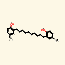 Cc1ccc(O)c(CCCCCCCCCCc2cc(C)ccc2O)c1